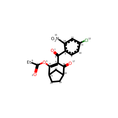 CCC(=O)OC1=C(C(=O)c2ccc(Cl)cc2[N+](=O)[O-])C(=O)C2CCC1C2